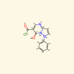 O=C(Cl)c1cnc2ccn(-c3ccccc3)n2c1=O